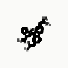 C=CCC[Si](C)(C1CCCC1)C1C2C=C(CC(C)C)C=CC2C2C=CC(CC(C)C)=CC21